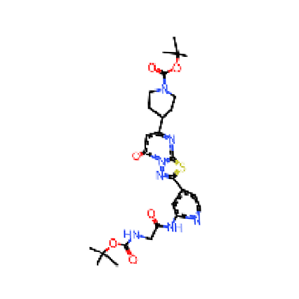 CC(C)(C)OC(=O)NCC(=O)Nc1cc(-c2nn3c(=O)cc(C4CCN(C(=O)OC(C)(C)C)CC4)nc3s2)ccn1